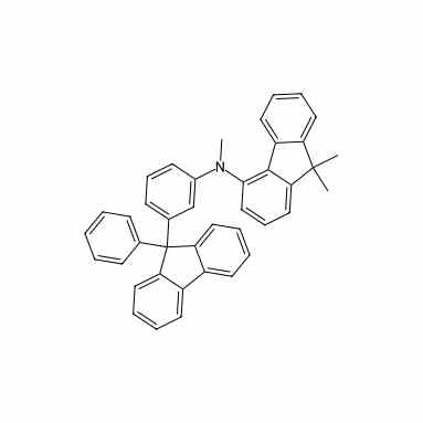 CN(c1cccc(C2(c3ccccc3)c3ccccc3-c3ccccc32)c1)c1cccc2c1-c1ccccc1C2(C)C